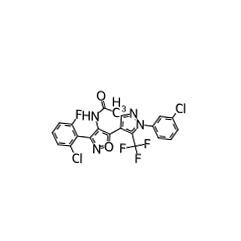 CC(=O)Nc1c(-c2c(F)cccc2Cl)noc1-c1cnn(-c2cccc(Cl)c2)c1C(F)(F)F